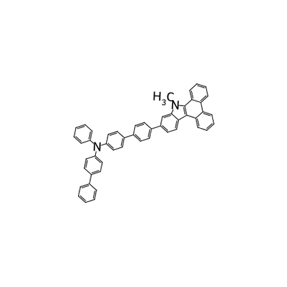 Cn1c2cc(-c3ccc(-c4ccc(N(c5ccccc5)c5ccc(-c6ccccc6)cc5)cc4)cc3)ccc2c2c3ccccc3c3ccccc3c21